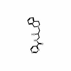 O=C(NCC(O)CN1CCc2ccccc2C1)c1ccncn1